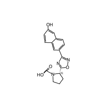 O=C(O)N1CCC[C@H]1c1nc(-c2ccc3cc(O)ccc3c2)no1